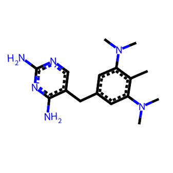 Cc1c(N(C)C)cc(Cc2cnc(N)nc2N)cc1N(C)C